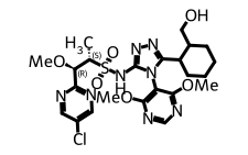 COc1ncnc(OC)c1-n1c(NS(=O)(=O)[C@@H](C)[C@H](OC)c2ncc(Cl)cn2)nnc1C1CCCCC1CO